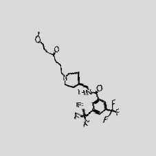 COCCC(=O)CCCN1CCC(CNC(=O)c2cc(C(F)(F)F)cc(C(F)(F)F)c2)CC1